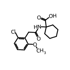 COc1cccc(Cl)c1CC(=O)NC1(C(=O)O)CCCCC1